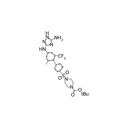 Cc1cc(Nc2n[nH]c(N)n2)cc(C(F)(F)F)c1-c1ccc(S(=O)(=O)N2CCN(C(=O)OC(C)(C)C)CC2)cc1